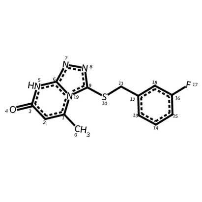 Cc1cc(=O)[nH]c2nnc(SCc3cccc(F)c3)n12